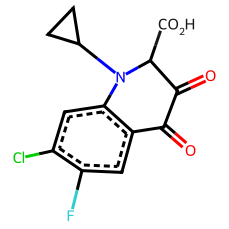 O=C1C(=O)C(C(=O)O)N(C2CC2)c2cc(Cl)c(F)cc21